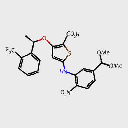 COC(OC)c1ccc([N+](=O)[O-])c(Nc2cc(O[C@H](C)c3ccccc3C(F)(F)F)c(C(=O)O)s2)c1